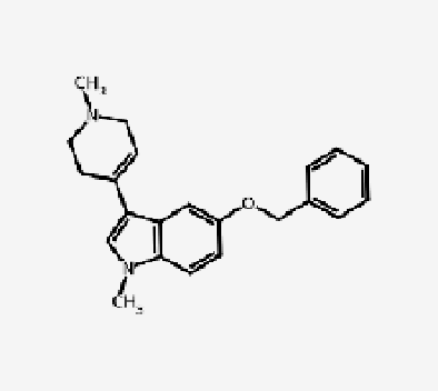 CN1CC=C(c2cn(C)c3ccc(OCc4ccccc4)cc23)CC1